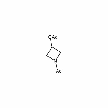 CC(=O)OC1CN(C(C)=O)C1